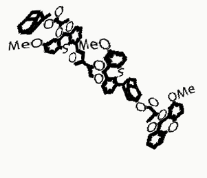 COc1ccc2c(c1)C1(OCC(C(=O)OC34CC5CC(C3)C(c3cccc6c3Sc3ccc(OC)cc3C63OCC(C6COC(c7cccc8c7Sc7ccc(OC)cc7C87OCC(C(=O)OC8(C)C9CC%10CC(C9)CC8C%10)O7)C6)O3)C(C5)C4)O1)c1ccccc1O2